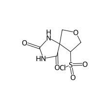 O=C1NC(=O)C2(COCC2S(=O)(=O)Cl)N1